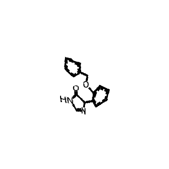 O=C1NC=NC1c1ccccc1OCc1ccccc1